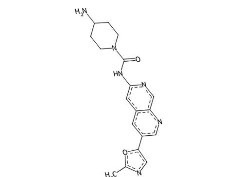 Cc1ncc(-c2cnc3cnc(NC(=O)N4CCC(N)CC4)cc3c2)o1